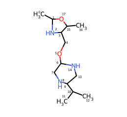 CC1NC(COC2CNC(C(C)C)CN2)C(C)O1